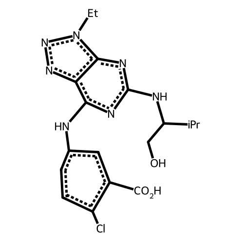 CCn1nnc2c(Nc3ccc(Cl)c(C(=O)O)c3)nc(NC(CO)C(C)C)nc21